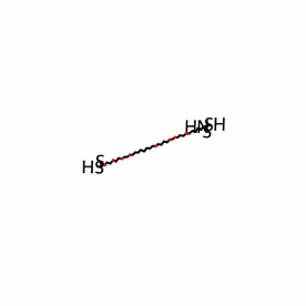 S=C(S)CCCCCCCCCCCCCCCCCCCCCCCCCCCCCCCCCCCNC(=S)S